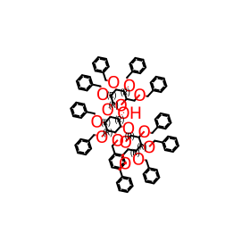 O[C@@H]1C(O[C@H]2OC(COCc3ccccc3)[C@@H](OCc3ccccc3)[C@@H](OCc3ccccc3)C2OCc2ccccc2)C(OCc2ccccc2)[C@@H](OCc2ccccc2)[C@@H](OCc2ccccc2)C1O[C@H]1OC(COCc2ccccc2)[C@@H](OCc2ccccc2)C(OCc2ccccc2)[C@H]1OCc1ccccc1